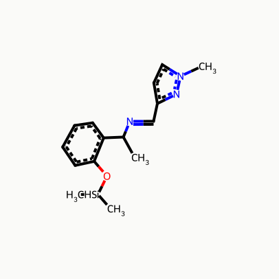 CC(N=Cc1ccn(C)n1)c1ccccc1O[SiH](C)C